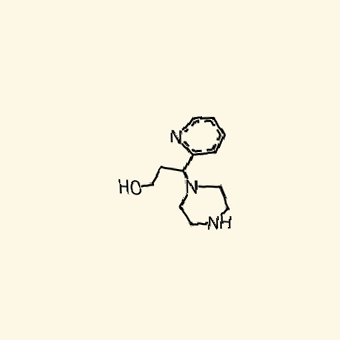 OCCC(c1ccccn1)N1CCNCC1